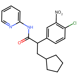 O=C(Nc1ccccn1)C(CC1CCCC1)c1ccc(Cl)c([N+](=O)[O-])c1